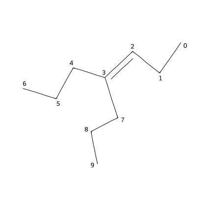 CCC=C(CCC)CCC